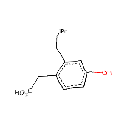 CC(C)Cc1cc(O)ccc1CC(=O)O